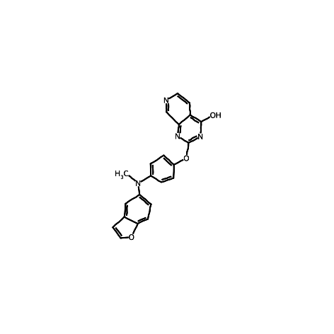 CN(c1ccc(Oc2nc(O)c3ccncc3n2)cc1)c1ccc2occc2c1